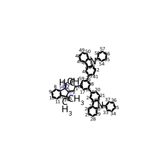 C=C(/C=C1\C(=C/C)c2ccccc2C1(C)C)c1cc(-c2ccc3c(c2)c2ccccc2n3-c2ccccc2)cc(-c2ccc3c(c2)c2ccccc2n3-c2ccccc2)c1